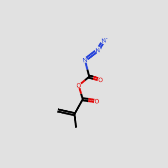 C=C(C)C(=O)OC(=O)N=[N+]=[N-]